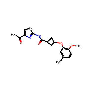 COc1ccc(C)cc1OC1CC(C(=O)NC2=NC(C(C)=O)=CB2)C1